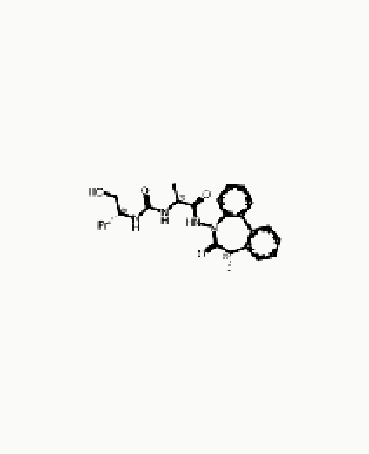 CC(C)[C@H](CO)NC(=O)N[C@@H](C)C(=O)NN1C(=O)[C@@H](C)c2ccccc2-c2ccccc21